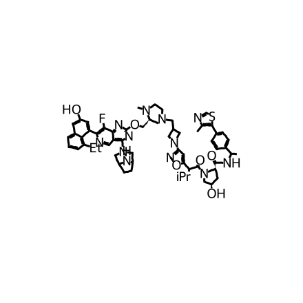 CCc1cccc2cc(O)cc(-c3ncc4c(N5CC6CCC(C5)N6)nc(OC[C@@H]5CN(CC6CN(c7cc(C(C(=O)N8C[C@H](O)C[C@H]8C(=O)NC(C)c8ccc(-c9scnc9C)cc8)C(C)C)on7)C6)CCN5C)nc4c3F)c12